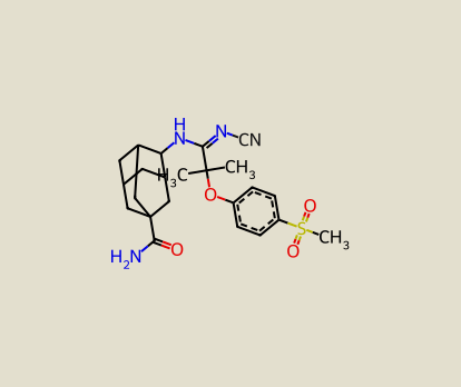 CC(C)(Oc1ccc(S(C)(=O)=O)cc1)/C(=N\C#N)NC1C2CC3CC1CC(C(N)=O)(C3)C2